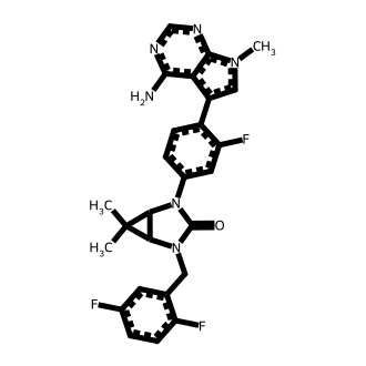 Cn1cc(-c2ccc(N3C(=O)N(Cc4cc(F)ccc4F)C4C3C4(C)C)cc2F)c2c(N)ncnc21